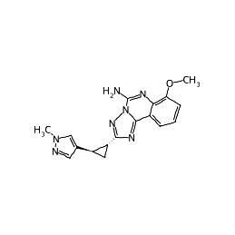 COc1cccc2c1nc(N)n1nc([C@@H]3C[C@H]3c3cnn(C)c3)nc21